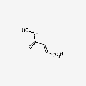 O=C(O)C=CC(=O)NO